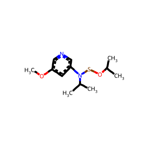 COc1cncc(N(SOC(C)C)C(C)C)c1